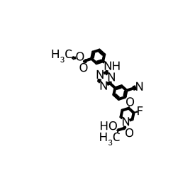 CCOC(=O)c1cccc(Nc2ncnc(-c3ccc(O[C@H]4CCN(C(=O)[C@H](C)O)C[C@@H]4F)c(C#N)c3)n2)c1